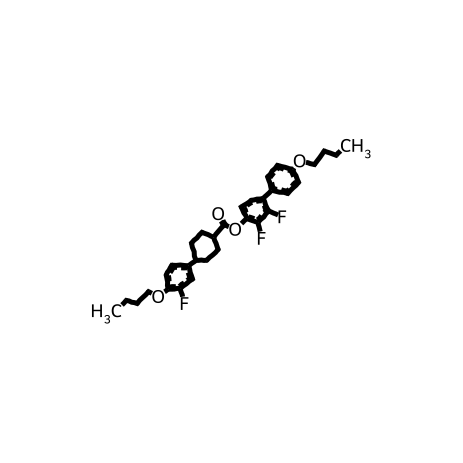 CCCCOc1ccc(-c2ccc(OC(=O)C3CCC(c4ccc(OCCCC)c(F)c4)CC3)c(F)c2F)cc1